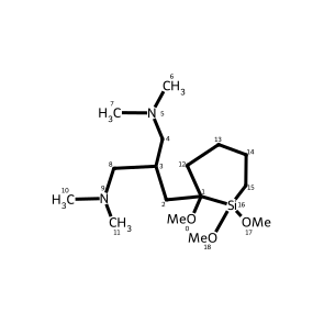 COC1(CC(CN(C)C)CN(C)C)CCCC[Si]1(OC)OC